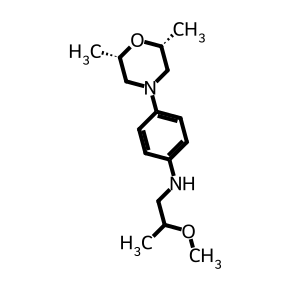 COC(C)CNc1ccc(N2C[C@@H](C)O[C@@H](C)C2)cc1